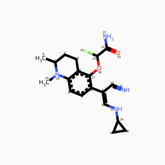 CC1CCc2c(ccc(/C(C=N)=C/NC3CC3)c2OC(F)C(N)=O)N1C